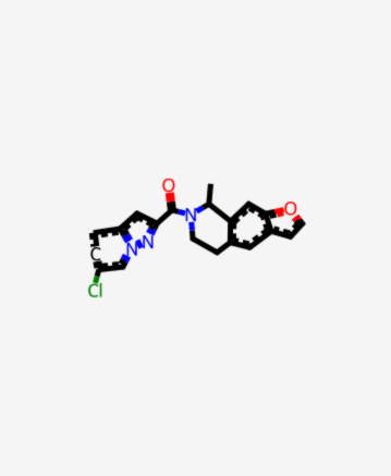 CC1c2cc3occc3cc2CCN1C(=O)c1cc2ccc(Cl)cn2n1